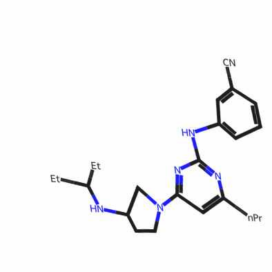 CCCc1cc(N2CCC(NC(CC)CC)C2)nc(Nc2cccc(C#N)c2)n1